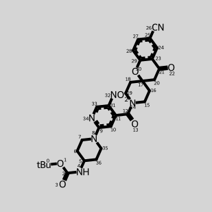 CC(C)(C)OC(=O)NC1CCN(c2cc(C(=O)N3CCC4(CC3)CC(=O)c3cc(C#N)ccc3O4)c([N+](=O)[O-])cn2)CC1